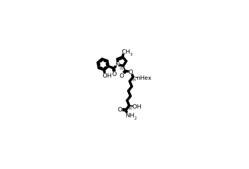 CCCCCC[C@H](CCCCC[C@@H](O)C(N)=O)OC(=O)[C@@H]1CC(C)=CN1C(=O)c1ccccc1O